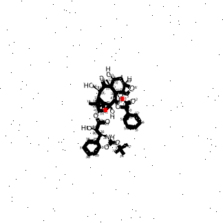 CC(=O)O[C@@]12CO[C@@H]1C[C@H](O)[C@@]1(C)C(=O)[C@H](O)C3=C(C)[C@@H](OC(=O)[C@H](O)[C@@H](NC(=O)OC(C)(C)C)c4ccccc4)C[C@](O)(C3(C)C)[C@@](C)(OC(=O)c3ccccc3)[C@H]21